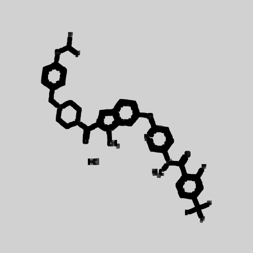 CN(C(=O)c1ccc(C(F)(F)F)cc1F)c1ccc(Oc2ccc3cc(C(=O)N4CCN(Cc5ccc(OC(F)F)cc5)CC4)n(C)c3c2)nc1.Cl